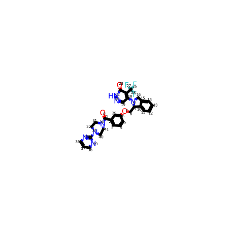 O=C(c1cccc(OCC2c3ccccc3CN2c2cn[nH]c(=O)c2C(F)(F)F)c1)N1CCN(c2ncccn2)CC1